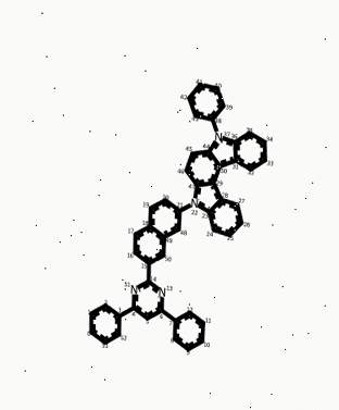 c1ccc(-c2cc(-c3ccccc3)nc(-c3ccc4ccc(-n5c6ccccc6c6c7c8ccccc8n(-c8ccccc8)c7ccc65)cc4c3)n2)cc1